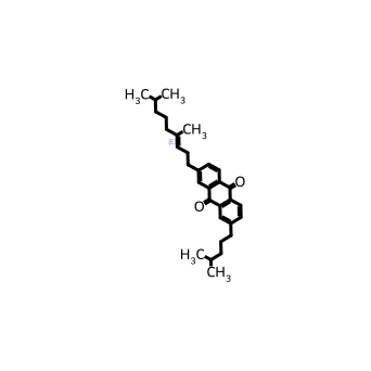 C/C(=C\CCc1ccc2c(c1)C(=O)c1cc(CCCC(C)C)ccc1C2=O)CCCC(C)C